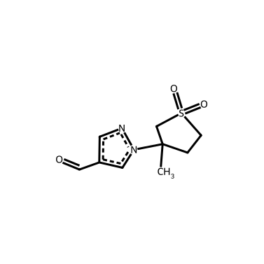 CC1(n2cc(C=O)cn2)CCS(=O)(=O)C1